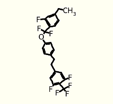 CCc1ccc(C(F)(F)Oc2ccc(CCc3cc(F)c(C(F)(F)F)c(F)c3)cc2)c(F)c1